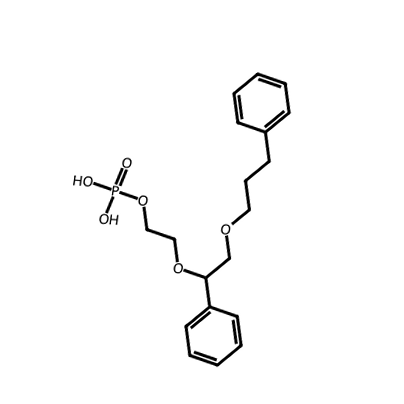 O=P(O)(O)OCCOC(COCCCc1ccccc1)c1ccccc1